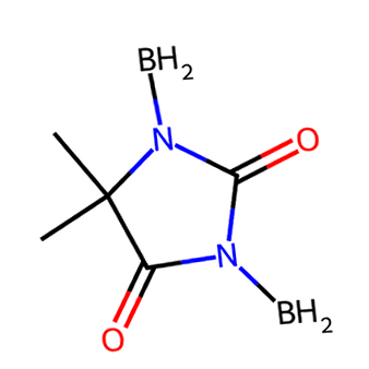 BN1C(=O)N(B)C(C)(C)C1=O